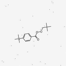 CC(C)(C)[CH]OOC(=O)c1ccc([Si](C)(C)C)cc1